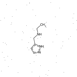 CCNCc1ccn[nH]1